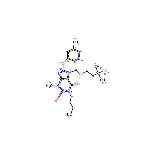 CCCCn1c(=O)c2c(nc(Oc3cncc(C)c3)n2COCC[Si](C)(C)C)n(C)c1=O